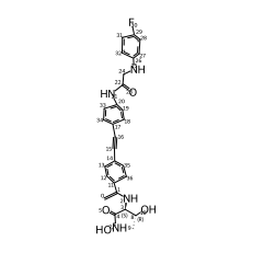 C=C(N[C@H](C(=O)NO)[C@@H](C)O)c1ccc(C#Cc2ccc(NC(=O)CNc3ccc(F)cc3)cc2)cc1